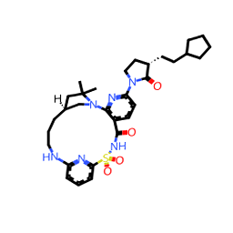 CC1(C)C[C@@H]2CCCNc3cccc(n3)S(=O)(=O)NC(=O)c3ccc(N4CC[C@H](CCC5CCCC5)C4=O)nc3N1C2